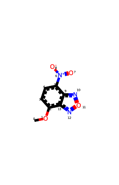 COc1ccc([N+](=O)[O-])c2nonc12